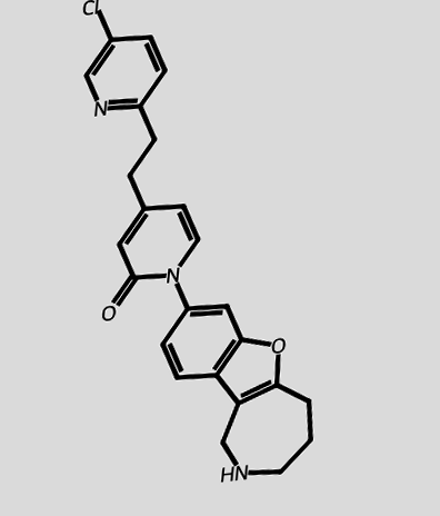 O=c1cc(CCc2ccc(Cl)cn2)ccn1-c1ccc2c3c(oc2c1)CCCNC3